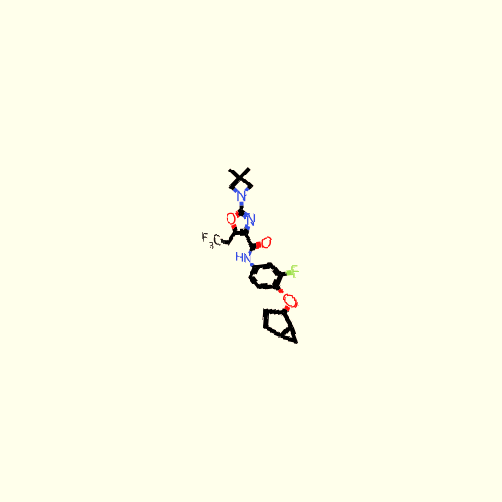 CC1(C)CN(c2nc(C(=O)Nc3ccc(OC4CCC5CC54)c(F)c3)c(CC(F)(F)F)o2)C1